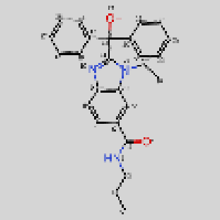 CCCNC(=O)c1ccc2nc(C(O)(c3ccccc3)c3ccccc3)n(CC)c2c1